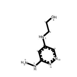 NNc1cc(NCCO)cnn1